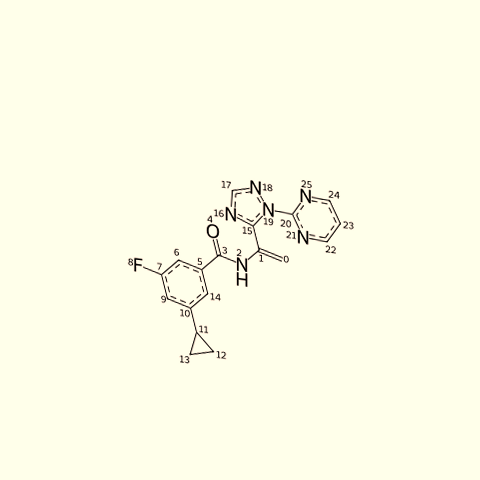 C=C(NC(=O)c1cc(F)cc(C2CC2)c1)c1ncnn1-c1ncccn1